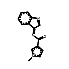 Cn1ccc(C(=O)N=C2C=Nc3ccccc32)c1